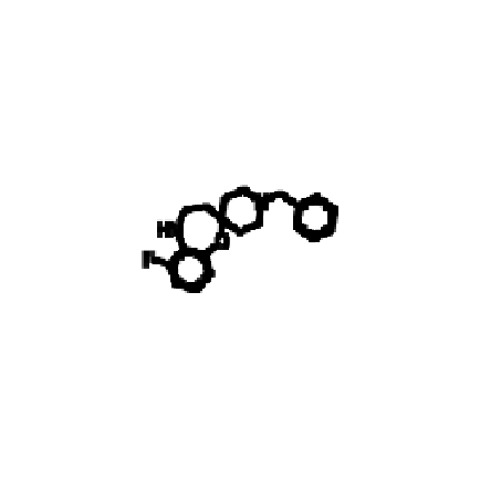 Fc1cccc2c1NCCC1(CCN(Cc3ccccc3)CC1)O2